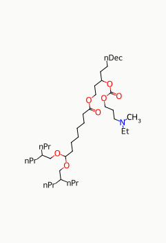 CCCCCCCCCCCCC(CCOC(=O)CCCCCCC(OCC(CCC)CCC)OCC(CCC)CCC)OC(=O)OCCCN(C)CC